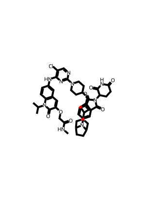 CNC(=O)COc1cc2cc(Nc3nc(N4CCC(OC5CC(N6CC7CCC(C6)N7c6ccc7c(c6)C(=O)N(C6CCC(=O)NC6=O)C7=O)C5)CC4)ncc3Cl)ccc2n(C(C)C)c1=O